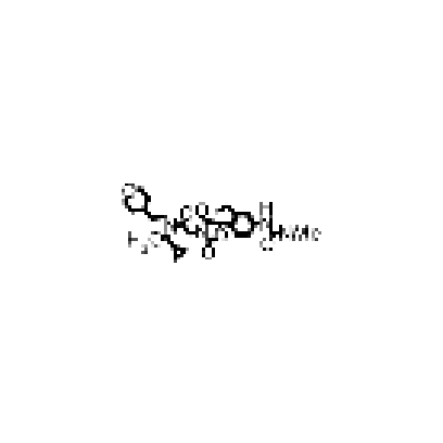 CNC(=O)Nc1ccc2c(c1)CC[C@@]21OC(=O)N(CC(=O)N(CCC2CCOCC2)C(C)C2CC2)C1=O